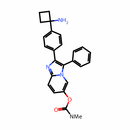 CNC(=O)Oc1ccc2nc(-c3ccc(C4(N)CCC4)cc3)c(-c3ccccc3)n2c1